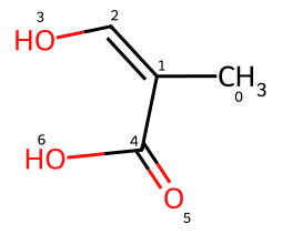 CC(=CO)C(=O)O